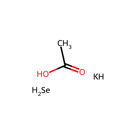 CC(=O)O.[KH].[SeH2]